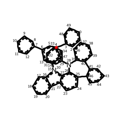 c1ccc(-c2cc(-c3ccccc3)cc(-n3c4ccccc4c4ccc5c(c43)N(c3ccccc3)c3ccccc3-c3ccccc3-5)c2)cc1